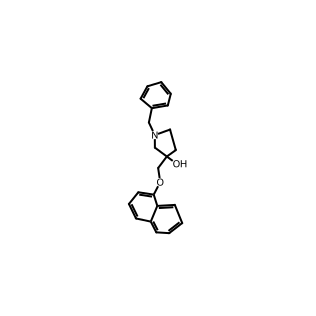 OC1(COc2cccc3ccccc23)CCN(Cc2ccccc2)C1